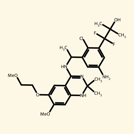 COCCOc1cc2c(cc1OC)NC(C)(C)N=C2NC(C)c1cc(N)cc(C(F)(F)C(C)(C)O)c1Cl